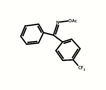 CC(=O)ON=C(c1ccccc1)c1ccc(C(F)(F)F)cc1